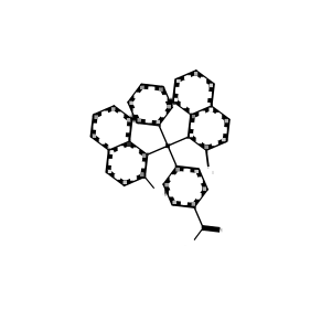 O=C(O)c1ccc(C(c2ccccc2)(c2c(O)ccc3ccccc23)c2c(O)ccc3ccccc23)cc1